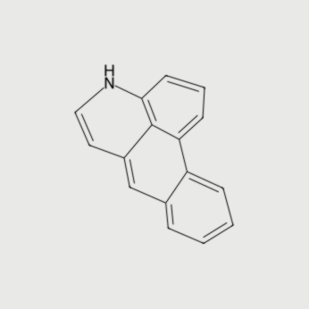 C1=Cc2cc3ccccc3c3cccc(c23)N1